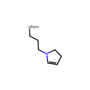 CCCCCCCCN1C=CCC1